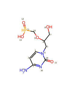 Nc1ccn(CC(CO)OC[PH](=O)O)c(=O)n1